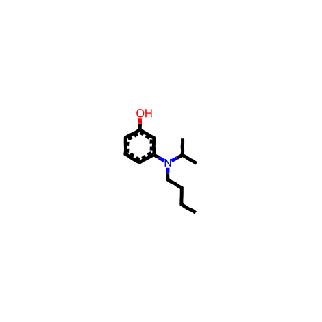 CCCCN(c1cccc(O)c1)C(C)C